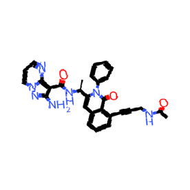 CC(=O)NCC#Cc1cccc2cc([C@H](C)NC(=O)c3c(N)nn4cccnc34)n(-c3ccccc3)c(=O)c12